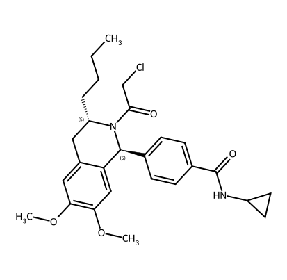 CCCC[C@H]1Cc2cc(OC)c(OC)cc2[C@H](c2ccc(C(=O)NC3CC3)cc2)N1C(=O)CCl